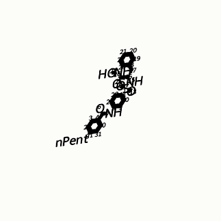 CCCCCc1ccc(C(=O)Nc2ccc(S(=O)(=O)N[C@H](Cc3ccccc3)C(=O)NO)cc2)cc1